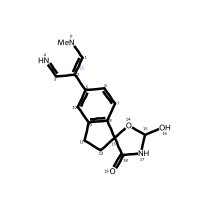 CN/C=C(\C=N)c1ccc2c(c1)CCC21OC(O)NC1=O